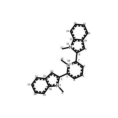 Cn1c(-c2cccc(-c3cc4ccccc4n3C)[n+]2C)cc2ccccc21